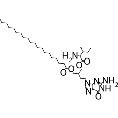 CCCCCCCCCCCCCCCCCCCC(=O)OCC(CCn1cnc2c(=O)[nH]c(N)nc21)COC(=O)[C@@H](N)[C@@H](C)CC